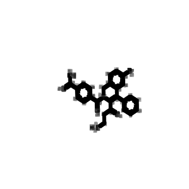 CCCC(=O)C1=C(c2ccccc2)c2cc(Br)ccc2CN1C(=O)c1ccc(C(=O)O)cc1